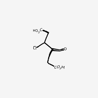 O=C(O)CC(=O)C(Cl)CC(=O)O